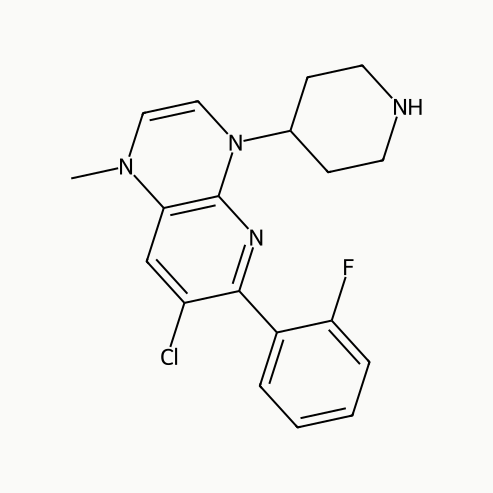 CN1C=CN(C2CCNCC2)c2nc(-c3ccccc3F)c(Cl)cc21